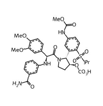 COC(=O)Nc1ccc(S(=O)(=O)C(C)C)c([C@@H]2[C@@H](OC(=O)O)CCN2C(=O)[C@@H](Nc2cccc(C(N)=O)c2)c2ccc(OC)c(OC)c2)c1